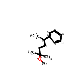 CCOC(C)(C)CCC(C(=O)O)c1ccccc1